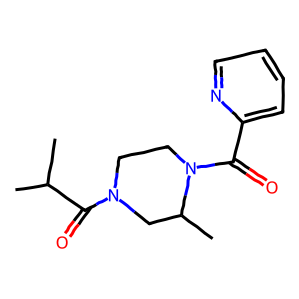 CC(C)C(=O)N1CCN(C(=O)c2ccccn2)C(C)C1